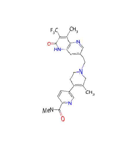 CNC(=O)c1ccc(C2=C(C)CN(Cc3cnc4c(C)c(C(F)(F)F)c(=O)[nH]c4c3)CC2)cn1